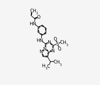 C=CC(=O)Nc1cccc(Nc2nc(S(C)(=O)=O)nc3c(C(C)C)cnn23)c1